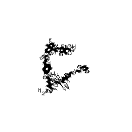 CC[C@@]1(O)C(=O)OCc2c1cc1n(c2=O)Cc2c-1nc1cc(F)c(C)c3c1c2[C@@H](NC(=O)OCc1ccc(NC(=O)C(CCCCN)NC(=O)[C@H](C)NC(=O)CCOCCOCCN2C(=O)C=CC2=O)cc1)CC3